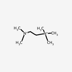 C[N+](C)CC[N+](C)(C)C